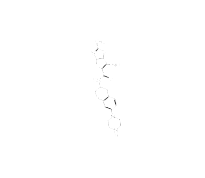 CC1=NC2SC(C(=O)N[C@@H]3COc4cc(N5CCNCC5)ccc4C3)=C(N)C2S1